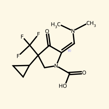 CN(C)/C=C1\C(=O)C(C2CC2)(C(F)(F)F)CN1C(=O)O